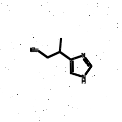 CC(CC(C)(C)C)c1c[nH]cn1